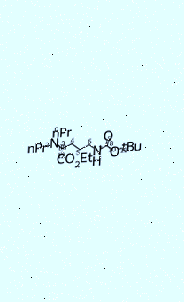 CCCN(CCC)[C@H](CCCNC(=O)OC(C)(C)C)C(=O)OCC